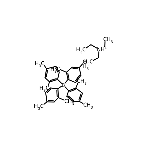 CC[NH+](CC)CC.Cc1ccc([B-](c2ccc(C)cc2C)(c2ccc(C)cc2C)c2ccc(C)cc2C)c(C)c1